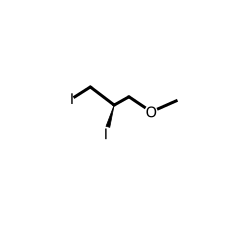 COC[C@@H](I)CI